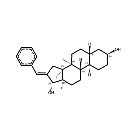 C[C@@]12CC[C@H]3[C@@H]4CC[C@H](O)C[C@H]4CC[C@@H]3[C@@H]1CC(=Cc1ccccc1)[C@H]2O